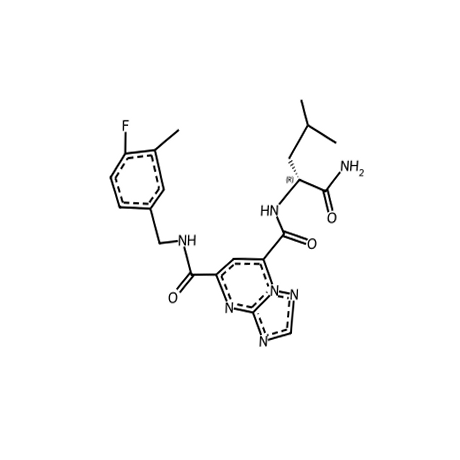 Cc1cc(CNC(=O)c2cc(C(=O)N[C@H](CC(C)C)C(N)=O)n3ncnc3n2)ccc1F